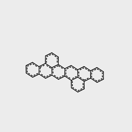 c1ccc2c(c1)cc1cc3c(cc4cc5ccccc5c5cccc3c45)c3cccc2c13